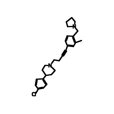 Cc1cc(C#CCCN2CCC(c3ccc(Cl)cc3)CC2)ccc1CN1CCCC1